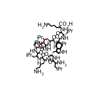 CC(C)C[C@H](NC(=O)[C@H](CC(C)C)NC(=O)[C@H](CCCCN)NC(=O)[C@H](Cc1c[nH]c2ccccc12)NC(=O)[C@@H](N)CC(C)C)C(=O)N[C@@H](CC(C)C)C(=O)N[C@@H](CCCCN)C(=O)N[C@H](C(=O)N[C@@H](CC(C)C)C(=O)N[C@@H](CCCCN)C(=O)O)C(C)C